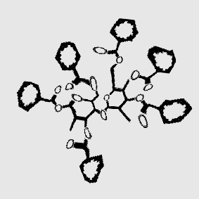 CC1C(OC2C(COC(=O)c3ccccc3)OC(OC(=O)c3ccccc3)C(C)C2OC(=O)c2ccccc2)OC(COC(=O)c2ccccc2)C(OC(=O)c2ccccc2)C1OC(=O)c1ccccc1